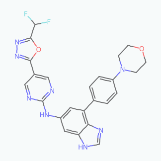 FC(F)c1nnc(-c2cnc(Nc3cc(-c4ccc(N5CCOCC5)cc4)c4nc[nH]c4c3)nc2)o1